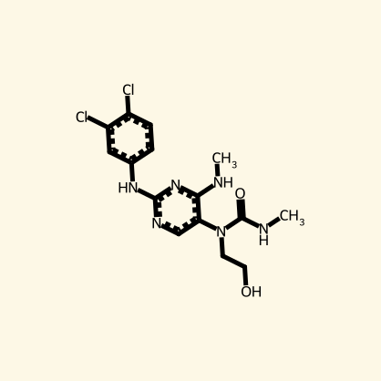 CNC(=O)N(CCO)c1cnc(Nc2ccc(Cl)c(Cl)c2)nc1NC